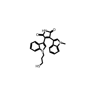 Cn1cc(C2=C(c3cn(CCCS)c4ccccc34)C(=O)NC2=O)c2ccccc21